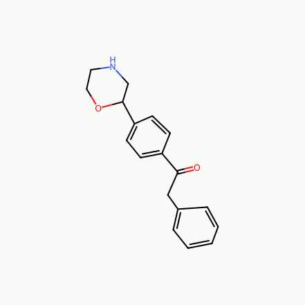 O=C(Cc1ccccc1)c1ccc(C2CNCCO2)cc1